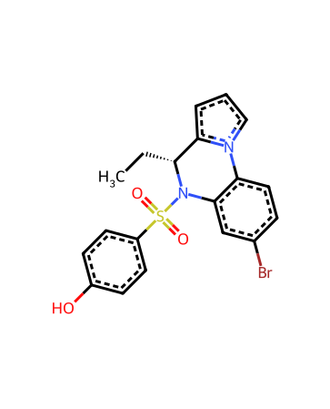 CC[C@@H]1c2cccn2-c2ccc(Br)cc2N1S(=O)(=O)c1ccc(O)cc1